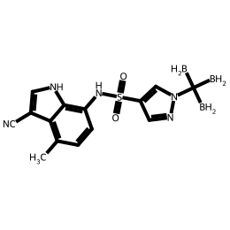 BC(B)(B)n1cc(S(=O)(=O)Nc2ccc(C)c3c(C#N)c[nH]c23)cn1